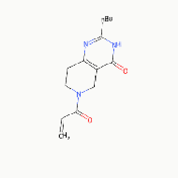 C=CC(=O)N1CCc2nc(CCCC)[nH]c(=O)c2C1